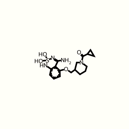 NC1=NS(O)(O)Nc2cccc(OCC3CCCN(C(=O)C4CC4)C3)c21